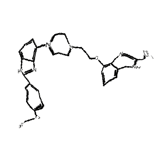 CCCOc1ccc(-c2nc3c(N4CCN(CCOc5cccc6[nH]c(C(F)(F)F)nc56)CC4)cccc3[nH]2)cc1